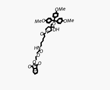 COc1ccc(C(OCC2(CO)CCN(C(=O)CCCCCNC(=O)COCCON3C(=O)C4C5C=CC(O5)C4C3=O)CC2)(c2ccc(OC)cc2)c2ccc(OC)cc2)cc1